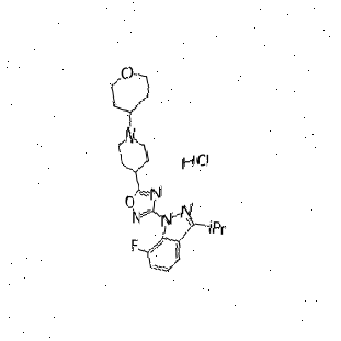 CC(C)c1nn(-c2noc(C3CCN(C4CCOCC4)CC3)n2)c2c(F)cccc12.Cl